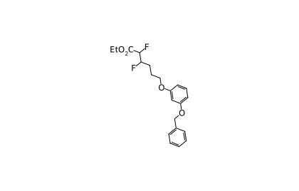 CCOC(=O)C(F)C(F)CCCOc1cccc(OCc2ccccc2)c1